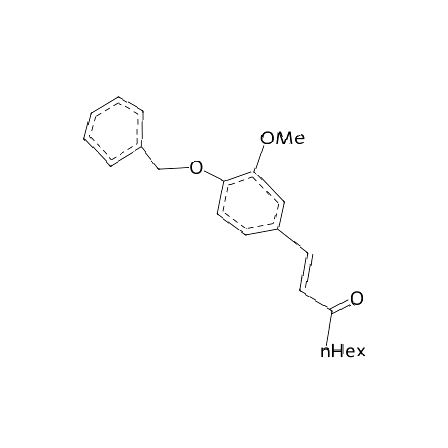 CCCCCCC(=O)/C=C/c1ccc(OCc2ccccc2)c(OC)c1